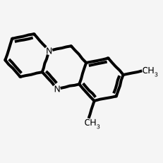 Cc1cc(C)c2c(c1)CN1C=CC=CC1=N2